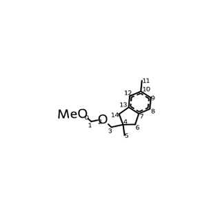 COCOCC1(C)Cc2ccc(C)cc2C1